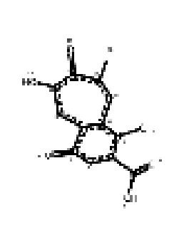 Cn1c(C(=O)O)cc(=O)c2cc(O)c(=O)c(I)cc21